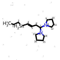 CCC[SiH2]C=CCC(N1CCCC1)N1CCCC1